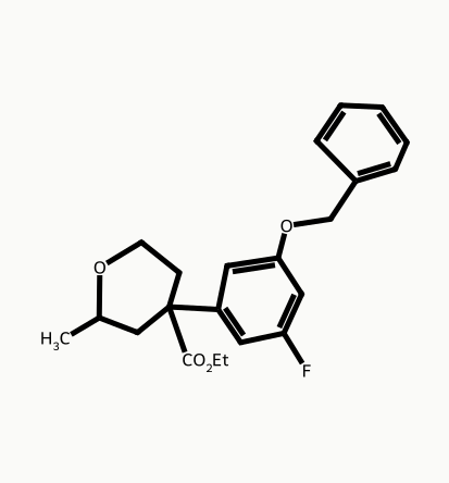 CCOC(=O)C1(c2cc(F)cc(OCc3ccccc3)c2)CCOC(C)C1